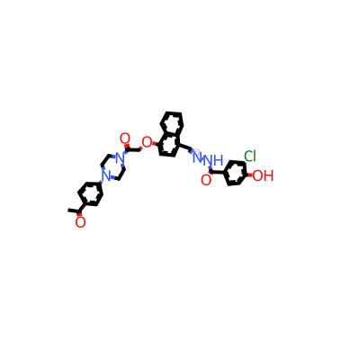 CC(=O)c1ccc(N2CCN(C(=O)COc3ccc(/C=N/NC(=O)c4ccc(O)c(Cl)c4)c4ccccc34)CC2)cc1